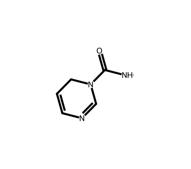 [NH]C(=O)N1C=NC=CC1